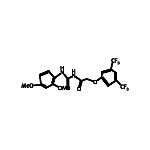 COc1ccc(NC(=O)NC(=O)COc2cc(C(F)(F)F)cc(C(F)(F)F)c2)c(OC)c1